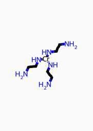 NCC[NH][Cr]([NH]CCN)[NH]CCN